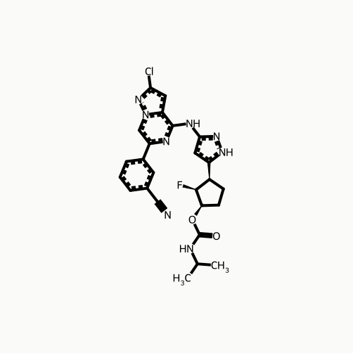 CC(C)NC(=O)O[C@@H]1CC[C@H](c2cc(Nc3nc(-c4cccc(C#N)c4)cn4nc(Cl)cc34)n[nH]2)[C@@H]1F